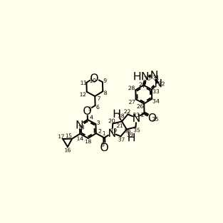 O=C(c1cc(OCC2CCOCC2)nc(C2CC2)c1)N1C[C@@H]2CN(C(=O)c3ccc4[nH]nnc4c3)C[C@H]2C1